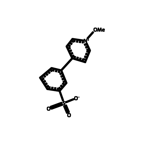 CO[n+]1ccc(-c2cccc(S(=O)(=O)[O-])c2)cc1